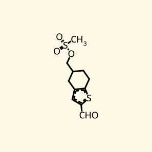 CS(=O)(=O)OCC1CCc2sc(C=O)cc2C1